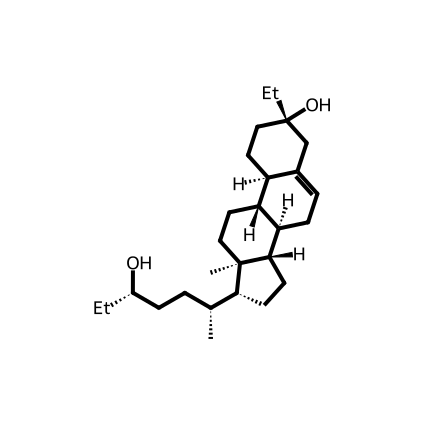 CC[C@H](O)CC[C@@H](C)[C@H]1CC[C@H]2[C@@H]3CC=C4C[C@](O)(CC)CC[C@@H]4[C@H]3CC[C@]12C